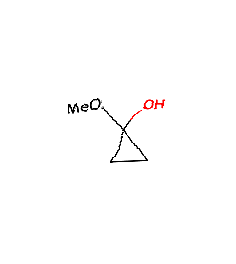 COC1(O)CC1